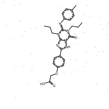 CCCn1c(=O)c2[nH]c(-c3ccc(OCC(=O)O)cc3)nc2n(CCC)c1=Nc1ccc(C)cc1